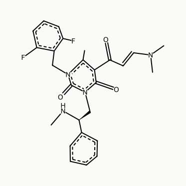 CN[C@@H](Cn1c(=O)c(C(=O)/C=C/N(C)C)c(C)n(Cc2c(F)cccc2F)c1=O)c1ccccc1